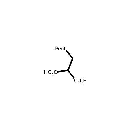 CCCCCCC(C(=O)O)C(=O)O